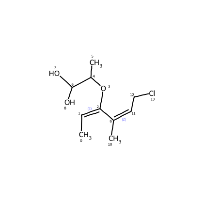 C/C=C(OC(C)C(O)O)\C(C)=C/CCl